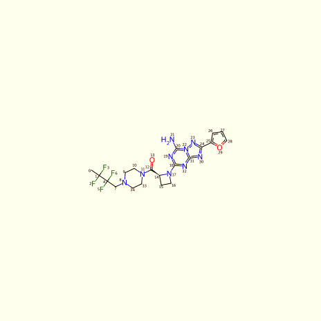 CC(F)(F)C(F)(F)CN1CCN(C(=O)[C@@H]2CCN2c2nc(N)n3nc(-c4ccco4)nc3n2)CC1